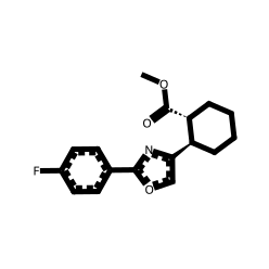 COC(=O)[C@@H]1CCCC[C@H]1c1coc(-c2ccc(F)cc2)n1